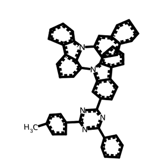 Cc1ccc(-c2nc(-c3ccccc3)nc(-c3ccc4c5ccccc5n(-c5cccc6c7ccccc7n(-c7ccc8ccccc8c7)c56)c4c3)n2)cc1